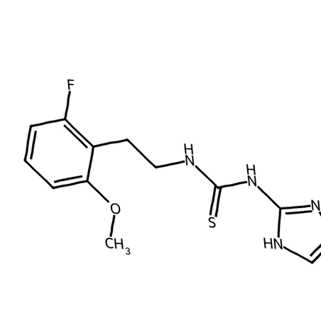 COc1cccc(F)c1CCNC(=S)Nc1ncc[nH]1